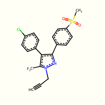 C#CCn1nc(-c2ccc(S(C)(=O)=O)cc2)c(-c2ccc(Cl)cc2)c1C(F)(F)F